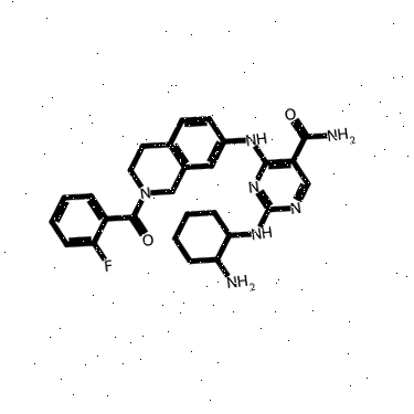 NC(=O)c1cnc(NC2CCCCC2N)nc1Nc1ccc2c(c1)CN(C(=O)c1ccccc1F)CC2